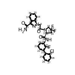 NC(=O)c1nn(CC(=O)N2CC(F)(F)C[C@H]2C(=O)Nc2cccc(-c3ccccc3Cl)c2F)c2ccccc12